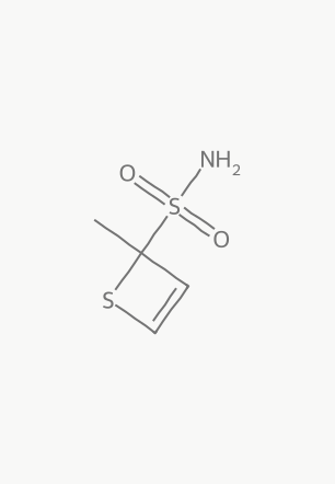 CC1(S(N)(=O)=O)C=CS1